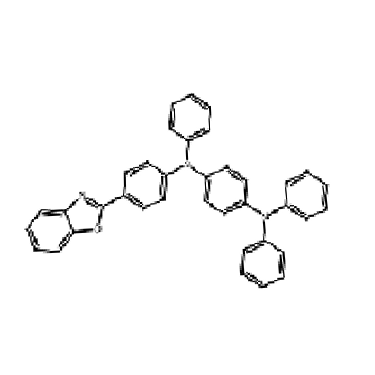 c1ccc(N(c2ccccc2)c2ccc(N(c3ccccc3)c3ccc(-c4nc5ccccc5o4)cc3)cc2)cc1